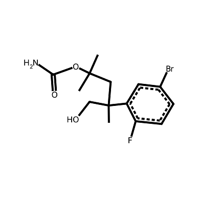 CC(C)(CC(C)(CO)c1cc(Br)ccc1F)OC(N)=O